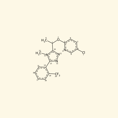 CC(Oc1ccc(Cl)cn1)c1nnc(-c2ccccc2C(F)(F)F)n1C